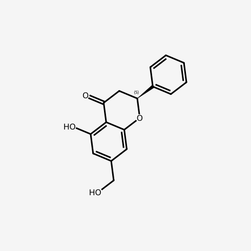 O=C1C[C@@H](c2ccccc2)Oc2cc(CO)cc(O)c21